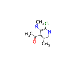 C=Nc1c(Cl)ncc(C)c1C(C)=O